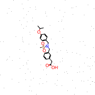 CC(C)Oc1ccc(CN(Cc2cccc(CC(=O)O)c2)S(C)(=O)=O)cc1